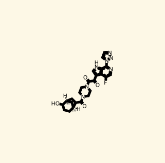 O=C(C(=O)N1CCN(C(=O)C2C[C@H]3C[C@@H]2CCC3O)CC1)c1c[nH]c2c(-n3ccnn3)ncc(F)c12